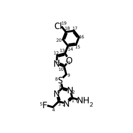 Nc1nc(CF)nc(SCc2ncc(-c3cccc(Cl)c3)o2)n1